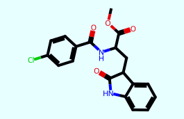 COC(=O)C(CC1C(=O)Nc2ccccc21)NC(=O)c1ccc(Cl)cc1